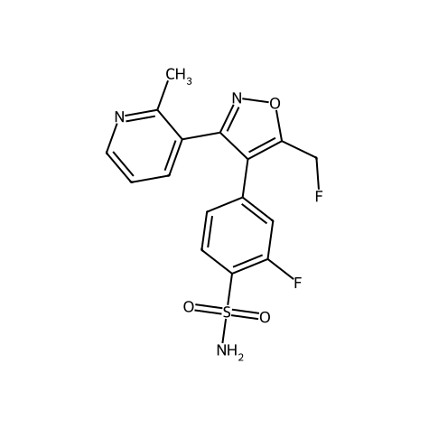 Cc1ncccc1-c1noc(CF)c1-c1ccc(S(N)(=O)=O)c(F)c1